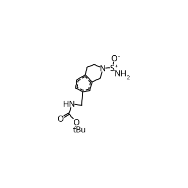 CC(C)(C)OC(=O)NCc1ccc2c(c1)CN([S+](N)[O-])CC2